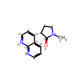 CN1CCCC1=O.c1cnc2ncccc2c1